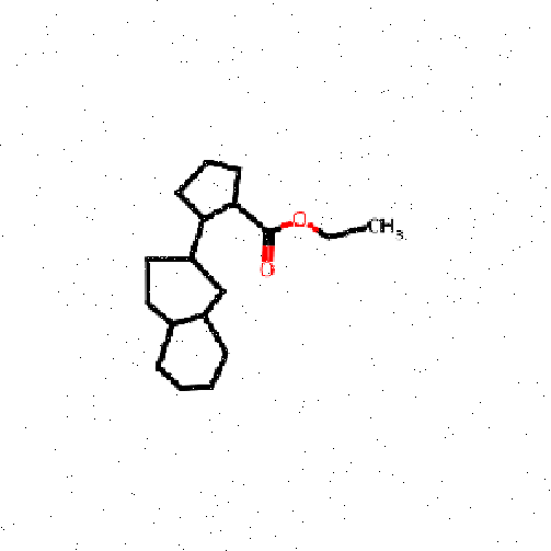 CCOC(=O)C1CCCC1C1CCC2CCCCC2C1